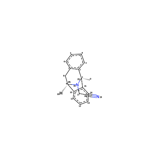 C[C@]12c3ccccc3C[C@H](c3ccccc31)N2CC#N